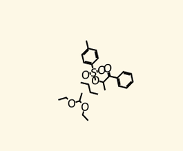 CCCC.CCOC(C)OCC.Cc1ccc(S(=O)(=O)OC(C)C(=O)c2ccccc2)cc1